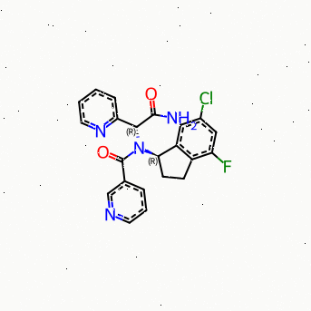 NC(=O)[C@@H](c1ccccn1)N(C(=O)c1cccnc1)[C@@H]1CCc2c(F)cc(Cl)cc21